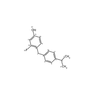 CC(C)c1ccc(Cc2ccc(O)cc2F)cc1